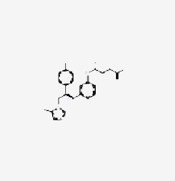 Cc1cncn1C/C(=C/c1cccc(N[C@@H](CCC(N)=O)C(=O)O)c1)c1ccc(F)cc1